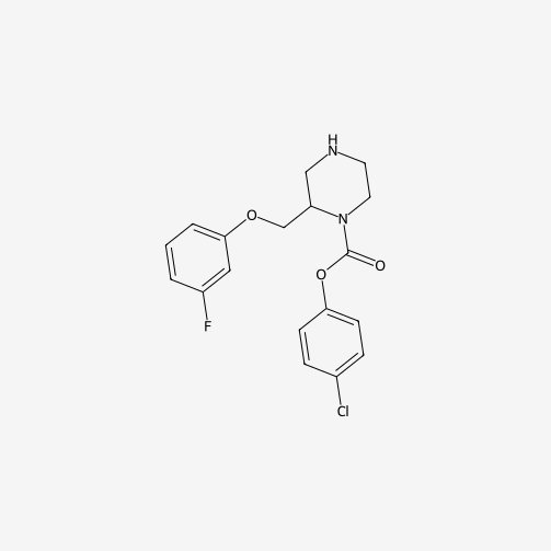 O=C(Oc1ccc(Cl)cc1)N1CCNCC1COc1cccc(F)c1